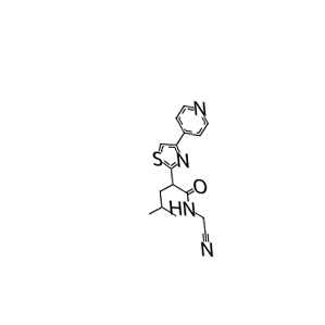 CC(C)CC(C(=O)NCC#N)c1nc(-c2ccncc2)cs1